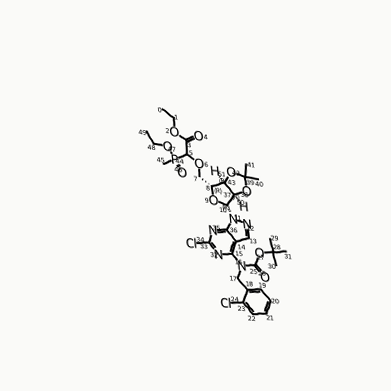 CCOC(=O)C(OC[C@H]1O[C@@H](n2ncc3c(N(Cc4ccccc4Cl)C(=O)OC(C)(C)C)nc(Cl)nc32)[C@@H]2OC(C)(C)O[C@@H]21)P(C)(=O)OCC